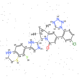 O=c1cc(-c2cc(Cl)ccc2-n2cnnn2)cc2n1[C@H](c1ncc(-c3ccc4c(c3F)SCCN4)[nH]1)[C@H]1C[C@@H]21